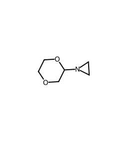 C1COC(N2CC2)CO1